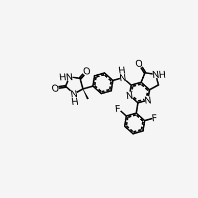 C[C@@]1(c2ccc(Nc3nc(-c4c(F)cccc4F)nc4c3C(=O)NC4)cc2)NC(=O)NC1=O